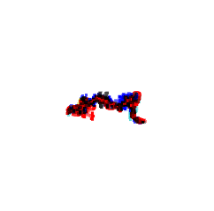 Cc1ncsc1-c1ccc(CNC(=O)[C@@H]2C[C@@H](O)CN2C(=O)[C@@H](NC(=O)C2(F)CC2)C(C)(C)C)c(OCC(=O)NCCCN(C)[C@@H]2C[C@@H]3CN(CC(=O)NCc4cccc(CNc5cc(N6CCC7(CC6)CN(c6cc(F)c(CN8CCC(C)(C)CC8)cc6F)CC(=O)N7)ncn5)c4)C[C@@H]3C2)c1